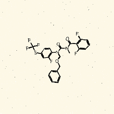 CN(C(=O)c1c(F)cccc1F)C(=O)N(COCc1ccccc1)c1ccc(SC(F)(F)F)cc1F